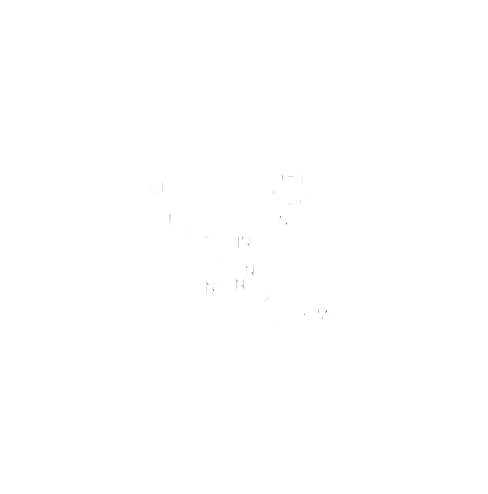 COc1ccc(Cn2nc(NC3CCCN(C(=O)OC(C)(C)C)C3)c3c(Oc4ccc(CO)cc4)ccnc32)cc1